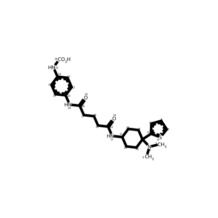 CN(C)C1(c2cccs2)CCC(NC(=O)CCCC(=O)Nc2ccc(NC(=O)O)cc2)CC1